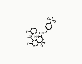 C[C@@H](c1ccccc1F)c1c(F)ccc2c1NC(NCc1ccc(S(C)(=O)=O)cc1)=NS2(=O)=O